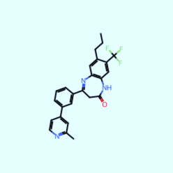 CCCc1cc2c(cc1C(F)(F)F)NC(=O)CC(c1cccc(-c3ccnc(C)c3)c1)=N2